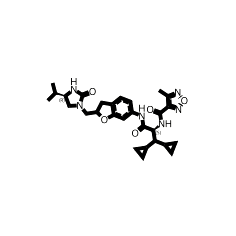 Cc1nonc1C(=O)N[C@H](C(=O)Nc1ccc2c(c1)OC(CN1C[C@@H](C(C)C)NC1=O)C2)C(C1CC1)C1CC1